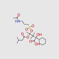 CC(=O)NCCCS(=O)(=O)OC(C)(OC(=O)CC(C)C)C(C)(C)[C@@](O)(C(=O)O)C1CCCCC1